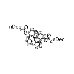 CCCCCCCCCCCC(=O)Oc1ccc(F)[c]([Ti]([C]2=CC=CC2)([C]2=CC=CC2)[c]2c(F)ccc(OC(=O)CCCCCCCCCCC)c2F)c1F